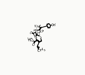 C/C=C/C1=C(C(=O)O)N2C(=O)[C@@H](NC(=O)C(N)c3ccc(O)cc3)[C@@H]2SC1